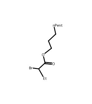 CCCCCCCCOC(=O)C(Br)CC